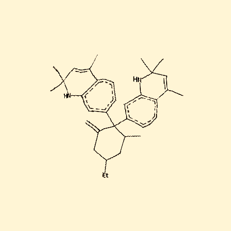 C=C1CC(CC)CC(C)C1(c1ccc2c(c1)NC(C)(C)C=C2C)c1ccc2c(c1)NC(C)(C)C=C2C